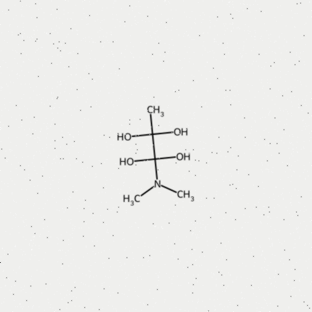 CN(C)C(O)(O)C(C)(O)O